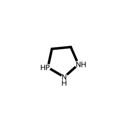 C1CPNN1